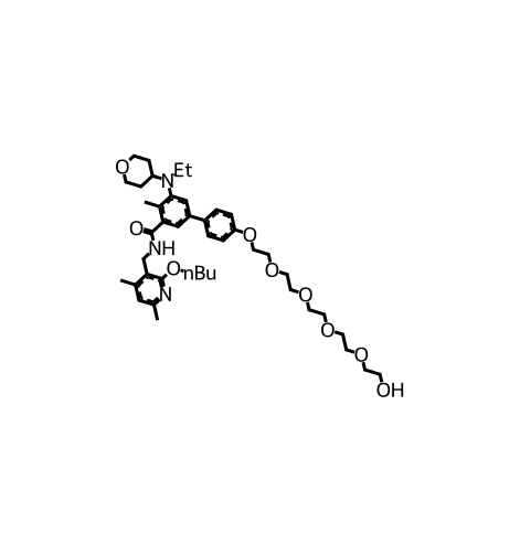 CCCCOc1nc(C)cc(C)c1CNC(=O)c1cc(-c2ccc(OCCOCCOCCOCCOCCO)cc2)cc(N(CC)C2CCOCC2)c1C